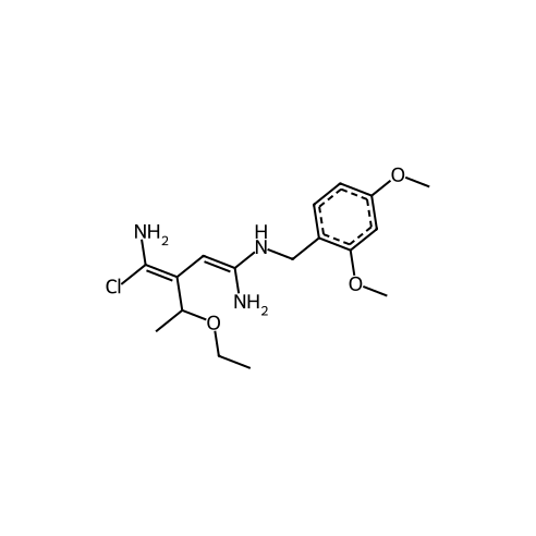 CCOC(C)C(/C=C(\N)NCc1ccc(OC)cc1OC)=C(/N)Cl